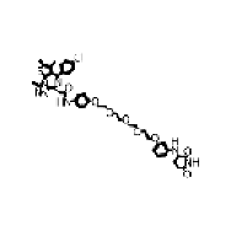 Cc1sc2c(c1C)C(c1ccc(Cl)cc1)=N[C@@H](CC(=O)Nc1ccc(OCCOCCOCCOCCOc3cccc(NC4CCC(=O)NC4=O)c3)cc1)c1nnc(C)n1-2